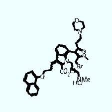 CCOC(=O)c1c(CCCOc2cccc3ccccc23)c2cccc(-c3c(CCN4CCOCC4)nn(C)c3CBr)c2n1CCCNC.Cl